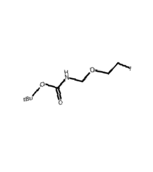 CC(C)(C)OC(=O)NCOCCI